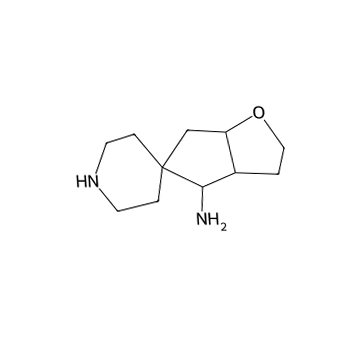 NC1C2CCOC2CC12CCNCC2